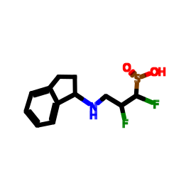 O=S(O)C(F)C(F)CNC1CCc2ccccc21